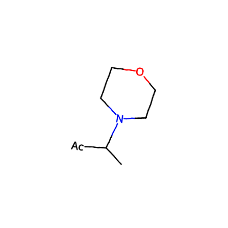 [CH2]C(=O)C(C)N1CCOCC1